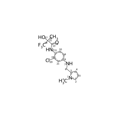 Cn1cccc1CNc1ccc(NC(=O)C(C)(O)C(F)(F)F)c(Cl)c1